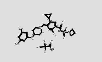 O=C(NS(=O)(=O)N1CCC1)c1cc(C2CC2)c(CN2CCC(Oc3cc(Cl)cc(Cl)c3)CC2)cc1F.O=C(O)C(F)(F)F